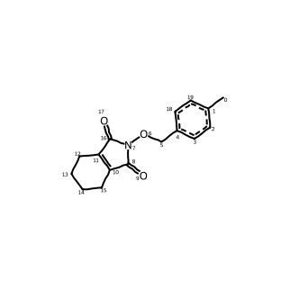 Cc1ccc(CON2C(=O)C3=C(CCCC3)C2=O)cc1